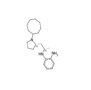 C[C@@H](C[C@@H]1CCCN1C1CCCCCCC1)Nc1ccccc1N